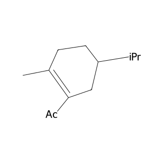 CC(=O)C1=C(C)CCC(C(C)C)C1